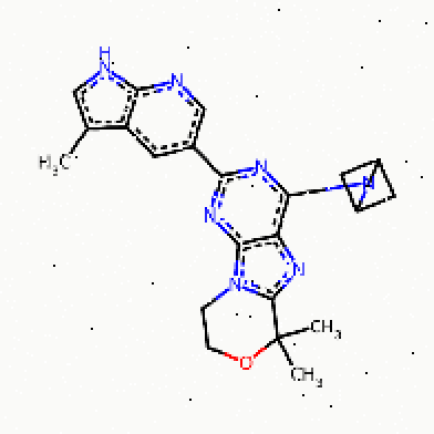 Cc1c[nH]c2ncc(-c3nc(N4CC5CC4C5)c4nc5n(c4n3)CCOC5(C)C)cc12